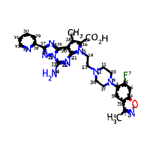 Cc1noc2cc(F)c(N3CCN(CCn4c(C(=O)O)c(C)c5c4nc(N)n4nc(-c6ccccn6)nc54)CC3)cc12